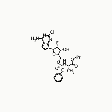 CC(C)OC(=O)[C@H](C)NP(=O)(OC[C@H]1O[C@@H](n2ccc3c(N)nc(Cl)nc32)C(F)C1O)Oc1ccccc1